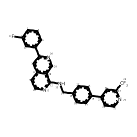 Fc1cccc(-c2cc3ccnc(NCc4ccc(-c5ccnc(C(F)(F)F)c5)cc4)c3cn2)c1